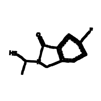 CC(S)N1Cc2ccc(F)cc2C1=O